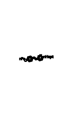 CCCCCCCc1ccc(CCc2ccc(OCCC)cc2)cn1